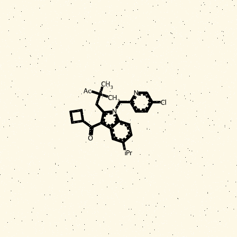 CC(=O)C(C)(C)Cc1c(C(=O)C2CCC2)c2cc(C(C)C)ccc2n1Cc1ccc(Cl)cn1